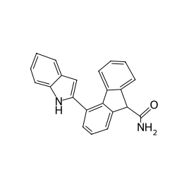 NC(=O)C1c2ccccc2-c2c(-c3cc4ccccc4[nH]3)cccc21